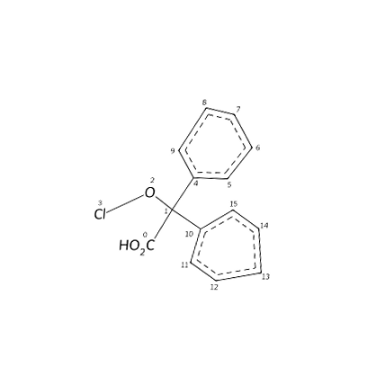 O=C(O)C(OCl)(c1ccccc1)c1ccccc1